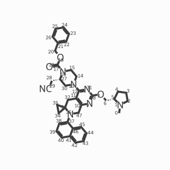 CN1CCC[C@H]1COc1nc2c(c(N3CCN(C(=O)OCc4ccccc4)[C@@H](CC#N)C3)n1)CC1(CC1)N(c1cccc3ccccc13)C2